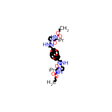 C=CCOC(=O)N[C@H](C(=O)N1CCC[C@H]1c1nc(-c2ccc(-c3cc4ccc3CCc3ccc(c(-c5ccc(-c6c[nH]c([C@@H]7CCCN7C(=O)[C@@H](NC(=O)OCC=C)C(C)C)n6)cc5)c3)CC4)cc2)c[nH]1)C(C)C